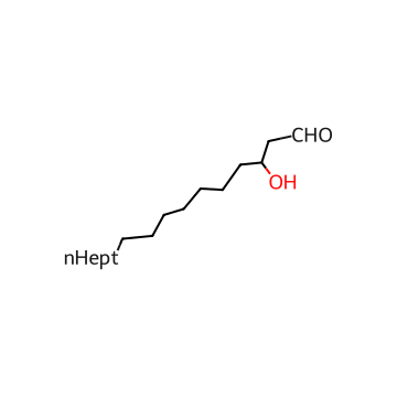 CCCCCCCCCCCCCCC(O)CC=O